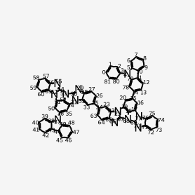 c1ccc(-n2c3ccccc3c3ccc(-c4cc5c6c(c4)n4c7cc(-c8ccc9nc%10n(c9c8)c8cc(-n9c%11ccccc%11c%11ccccc%119)cc9c8n%10c8nc%10ccccc%10n98)ccc7nc4n6c4nc6ccccc6n54)cc32)cc1